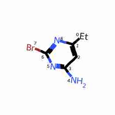 CCc1cc(N)nc(Br)n1